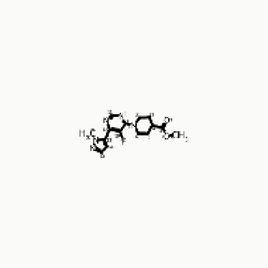 COC(=O)C1CCN(c2ncnc(-c3ccnn3C)c2F)CC1